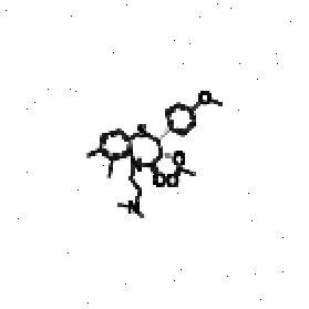 COc1ccc([C@H]2Sc3ccc(C)c(C)c3N(CCN(C)C)C(=O)[C@H]2OC(C)=O)cc1